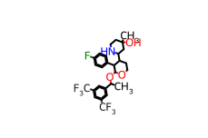 CC(OC1OCCC(C2CC(C)(O)CCN2)C1c1ccc(F)cc1)c1cc(C(F)(F)F)cc(C(F)(F)F)c1